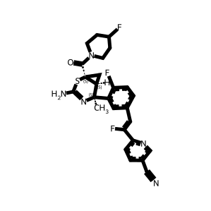 C[C@]1(c2cc(C=C(F)c3ccc(C#N)cn3)ccc2F)N=C(N)S[C@@]2(C(=O)N3CCC(F)CC3)C[C@H]21